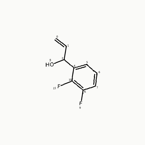 C=CC(O)c1cccc(F)c1F